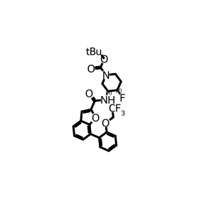 CC(C)(C)OC(=O)N1CC[C@@H](F)[C@H](NC(=O)c2cc3cccc(-c4ccccc4OCC(F)(F)F)c3o2)C1